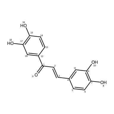 O=C(/C=C/c1ccc(O)c(O)c1)c1ccc(O)c(O)c1